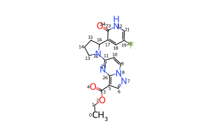 CCOC(=O)c1cnn2ccc(N3CCCC3c3cc(F)c[nH]c3=O)nc12